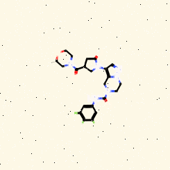 C[C@@H]1CN(C(=O)C2CC(=O)N(c3cnn4c3CN(C(=O)Nc3cc(F)c(F)c(F)c3)[C@@H](C)C4)C2)C[C@@H](C)O1